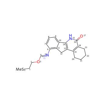 CSCCO/C=N/c1cccc2c1Cc1c-2[nH]c(=O)c2c1CCCC2